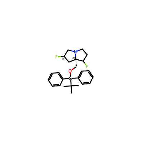 CC(C)(C)[Si](OC[C@]12C[C@@H](F)CN1CCC2F)(c1ccccc1)c1ccccc1